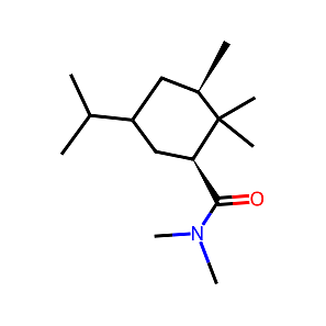 CC(C)C1C[C@@H](C)C(C)(C)[C@@H](C(=O)N(C)C)C1